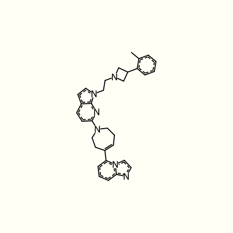 Cc1ccccc1C1CN(CCn2ccc3ccc(N4CCC=C(c5cccc6nccn56)CC4)nc32)C1